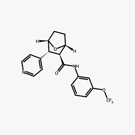 O=C(Nc1cccc(OC(F)(F)F)c1)[C@H]1[C@H](c2ccncc2)[C@@H]2CC[C@H]1O2